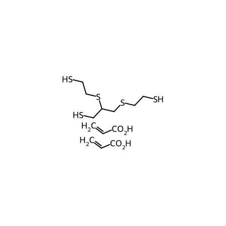 C=CC(=O)O.C=CC(=O)O.SCCSCC(CS)SCCS